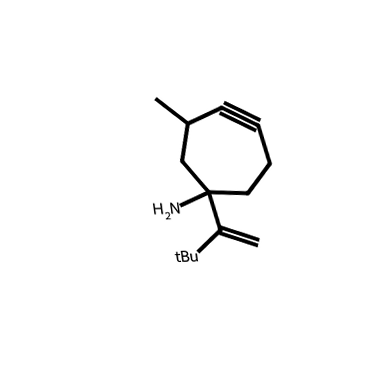 C=C(C(C)(C)C)C1(N)CCC#CC(C)C1